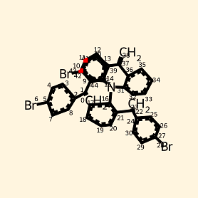 C=C(c1ccc(Br)cc1)c1ccccc1N(c1ccccc1C(=C)c1ccc(Br)cc1)c1ccccc1C(=C)c1ccc(Br)cc1